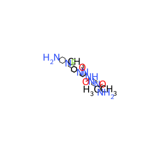 CN(Cc1ccc(-n2ccc(NC(=O)N3CCN(C(=O)C(C)(C)N)CC3)nc2=O)cc1F)C1CCC(N)CC1